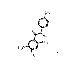 CCC(C(=O)c1cc(C)c(C)cc1C)c1ccc(C)cc1